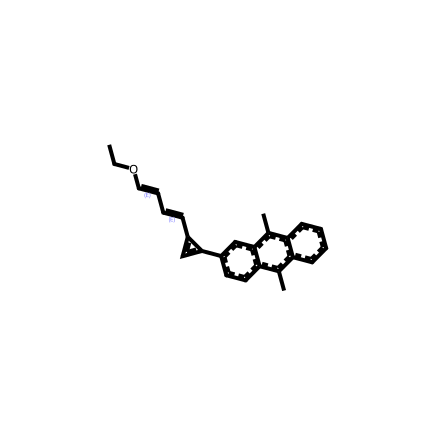 CCO/C=C/C=C/C1=C=C1c1ccc2c(C)c3ccccc3c(C)c2c1